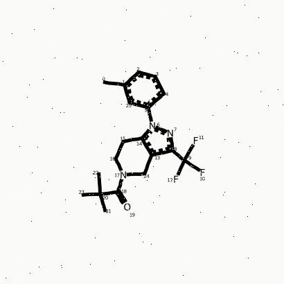 Cc1cccc(-n2nc(C(F)(F)F)c3c2CCN(C(=O)C(C)(C)C)C3)c1